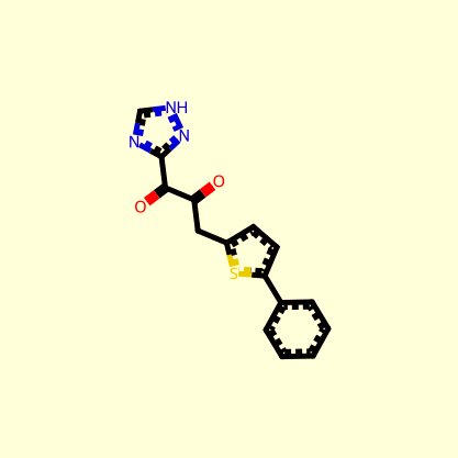 O=C(Cc1ccc(-c2ccccc2)s1)C(=O)c1nc[nH]n1